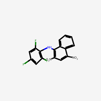 O=[N+]([O-])c1cc([N+](=O)[O-])c2ccccc2c1Nc1c(F)cc(F)cc1F